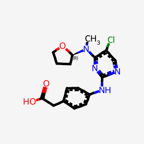 CN(c1nc(Nc2ccc(CC(=O)O)cc2)ncc1Cl)[C@H]1CCCO1